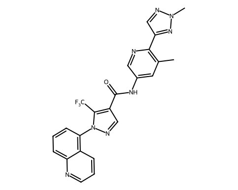 Cc1cc(NC(=O)c2cnn(-c3cccc4ncccc34)c2C(F)(F)F)cnc1-c1cnn(C)n1